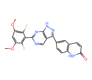 COc1cc(OC)c(F)c(-c2ncc3c(-c4ccc5[nH]c(=O)ccc5c4)n[nH]c3n2)c1F